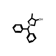 CC1CN(C(c2ccccc2)c2ccccc2)CC1O